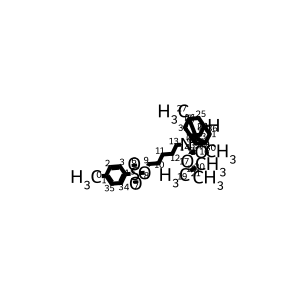 Cc1ccc(S(=O)(=O)OCCCCCN(C(=O)OC(C)(C)C)[C@]23C[C@@H]4C[C@@](C)(C[C@@](C)(C4)C2)C3)cc1